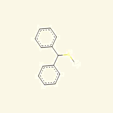 CCCSC(c1ccccc1)c1ccccc1